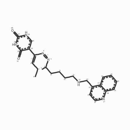 CC/C=C(\N=N/C(C)CCCCNCc1ccnc2ccccc12)c1c[nH]c(=O)[nH]c1=O